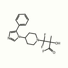 CC(O)(C(=O)F)C(F)(F)N1CCC(n2cncc2-c2ccccc2)CC1